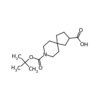 CC(C)(C)OC(=O)N1CCC2(CCC(C(=O)O)C2)CC1